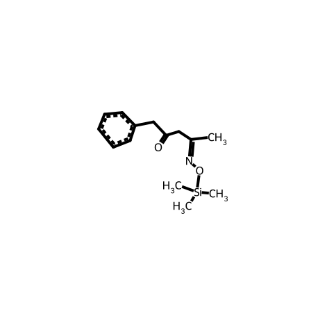 CC(CC(=O)Cc1ccccc1)=NO[Si](C)(C)C